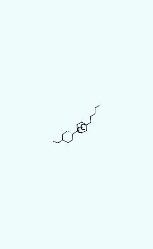 CCCCCC12CCC([C@H]3CC[C@H](CC)CC3)(CC1)CC2